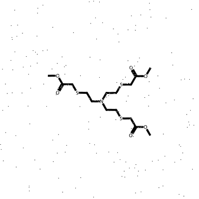 COC(=O)CSCCN(CCSCC(=O)OC)CCSCC(=O)OC